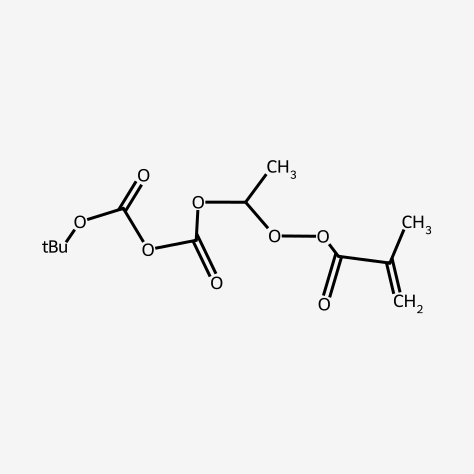 C=C(C)C(=O)OOC(C)OC(=O)OC(=O)OC(C)(C)C